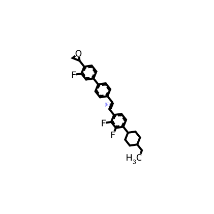 CCC1CCC(c2ccc(/C=C/c3ccc(-c4ccc(C5CO5)c(F)c4)cc3)c(F)c2F)CC1